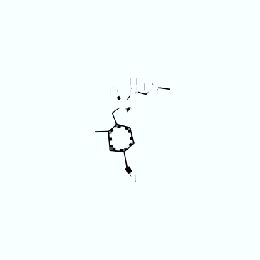 CNCNS(=O)(=O)Cc1ccc(C#N)cc1F